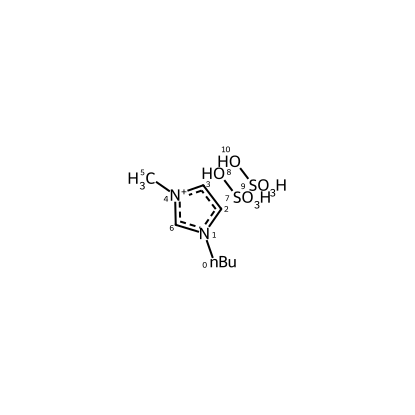 CCCCn1cc[n+](C)c1.O=S(=O)(O)O.O=S(=O)(O)O